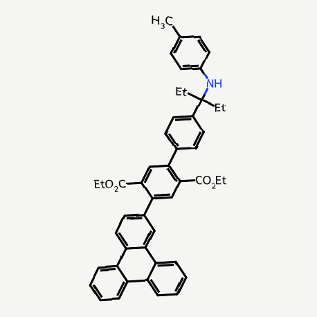 CCOC(=O)c1cc(-c2ccc3c4ccccc4c4ccccc4c3c2)c(C(=O)OCC)cc1-c1ccc(C(CC)(CC)Nc2ccc(C)cc2)cc1